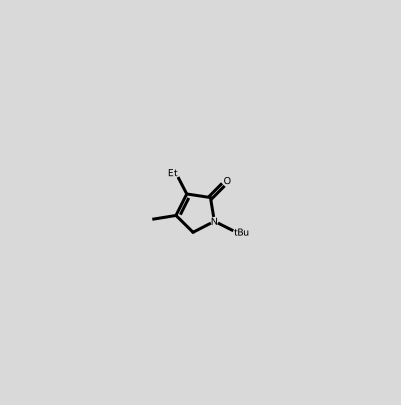 CCC1=C(C)CN(C(C)(C)C)C1=O